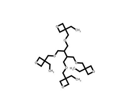 CCC1(COCC(COCC2(CC)COC2)C(COCC2(CC)COC2)COCC2(CC)COC2)COC1